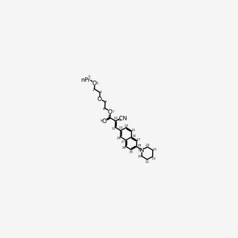 CCCOCCOCCOC(=O)/C(C#N)=C/c1ccc2cc(N3CCCCC3)ccc2c1